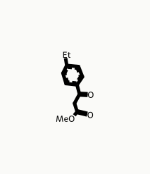 CCc1ccc(C(=O)CC(=O)OC)cc1